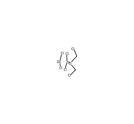 ClCOCCl.[Cl][Zn][Cl].[Cl][Zn][Cl]